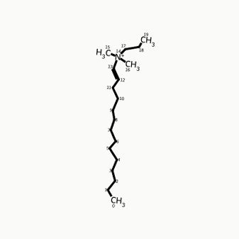 CCCCCCCCCCCCC=C[N+](C)(C)CCC